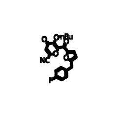 CCCCOc1c(C(=O)c2ccc(Cc3ccc(F)cc3)o2)oc(C#N)cc1=O